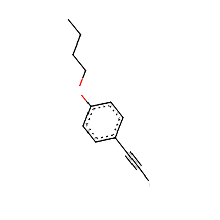 [Li][C]#Cc1ccc(OCCCC)cc1